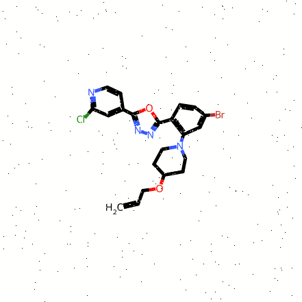 C=CCOC1CCN(c2cc(Br)ccc2-c2nnc(-c3ccnc(Cl)c3)o2)CC1